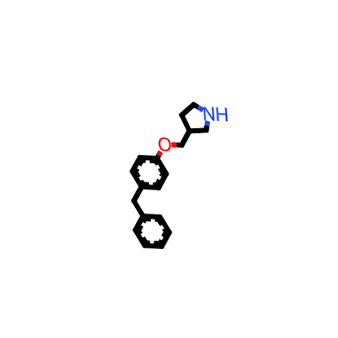 c1ccc(Cc2ccc(OCC3CCNC3)cc2)cc1